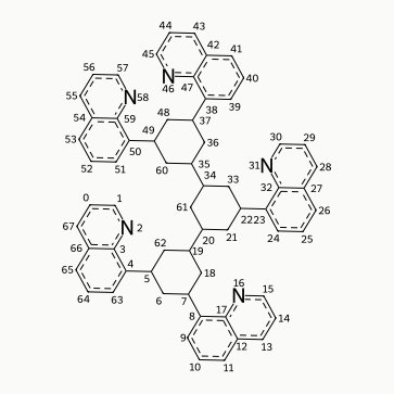 c1cnc2c(C3CC(c4cccc5cccnc45)CC(C4CC(c5cccc6cccnc56)CC(C5CC(c6cccc7cccnc67)CC(c6cccc7cccnc67)C5)C4)C3)cccc2c1